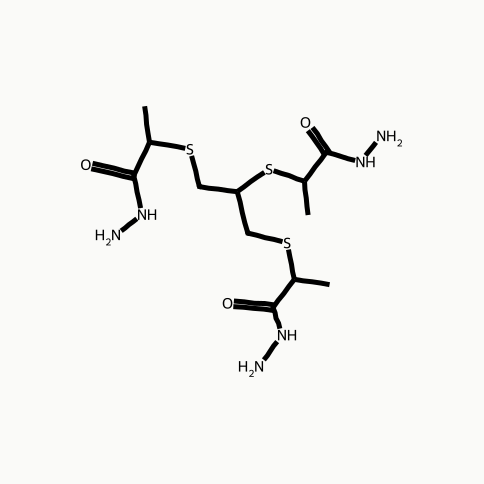 CC(SCC(CSC(C)C(=O)NN)SC(C)C(=O)NN)C(=O)NN